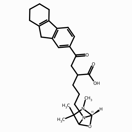 CN1[C@@H]2OC(N2CCCC(CC(=O)c2ccc3c(c2)CC2=C3CCCC2)C(=O)O)C1(C)C